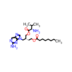 CCCCCCCC(=O)OCC[C@@H](COC(=O)[C@@H](N)C(C)C)Cn1cnc2cnc(N)nc21